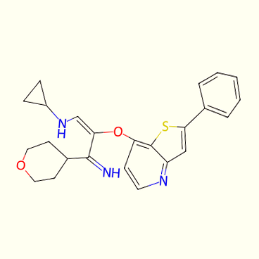 N=C(/C(=C\NC1CC1)Oc1ccnc2cc(-c3ccccc3)sc12)C1CCOCC1